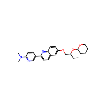 CCC(COc1ccc2nc(-c3ccc(N(C)C)nc3)ccc2c1)OC1CCCCO1